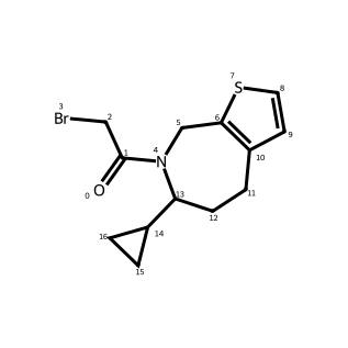 O=C(CBr)N1Cc2sccc2CCC1C1CC1